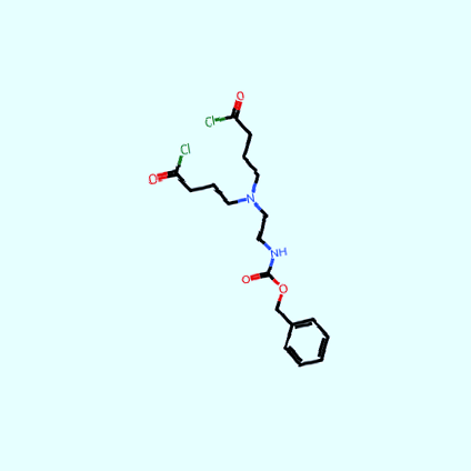 O=C(Cl)CCCN(CCCC(=O)Cl)CCNC(=O)OCc1ccccc1